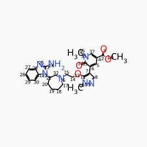 COC(=O)c1cc(-c2cnn(C)c2OCCN2CCCCC(n3c(N)nc4ccccc43)C2)c(=O)n(C)c1